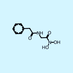 O=C(Cc1ccccc1)NCC(=O)N(O)O